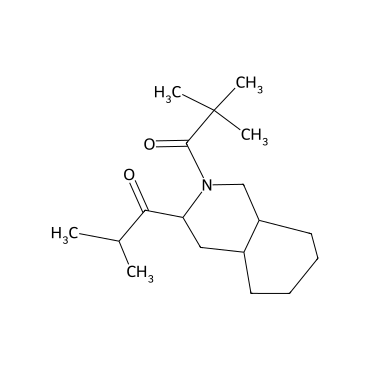 CC(C)C(=O)C1CC2CCCCC2CN1C(=O)C(C)(C)C